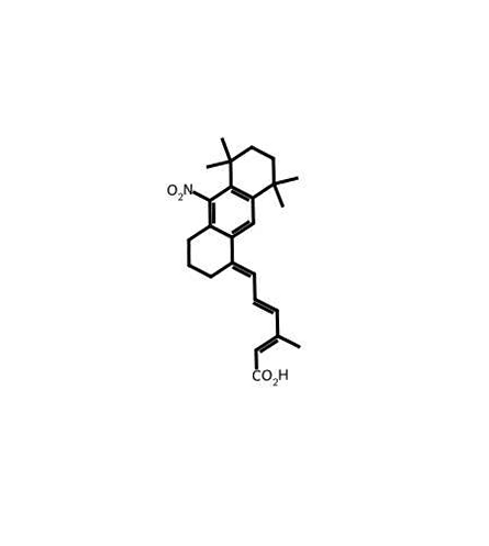 CC(C=CC=C1CCCc2c1cc1c(c2[N+](=O)[O-])C(C)(C)CCC1(C)C)=CC(=O)O